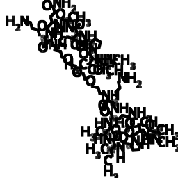 CC[C@H](C)[C@H](NC(=O)[C@@H]1CCCN1C(=O)C(NC(=O)[C@H](C)NC)C(C)C)C(=O)N[C@@H](C)C(=O)N[C@@H](CCC(N)=O)C(=O)N[C@@H](CCCCN)C(=O)NCCCOCCOCCOCCCNC(=O)[C@H](CCCCN)NC(=O)C(CCC(N)=O)NC(=O)[C@H](C)NC(=O)[C@@H](NC(=O)[C@@H]1CCCN1C(=O)[C@@H](NC(=O)[C@H](C)NC)C(C)C)[C@@H](C)CC